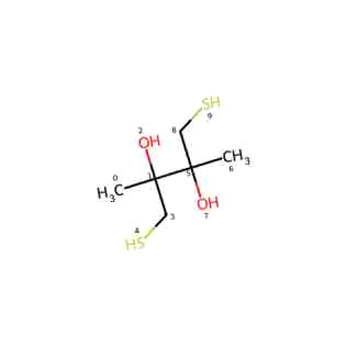 CC(O)(CS)C(C)(O)CS